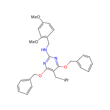 COc1ccc(CNc2nc(OCc3ccccc3)c(CC(C)C)c(OCc3ccccc3)n2)c(OC)c1